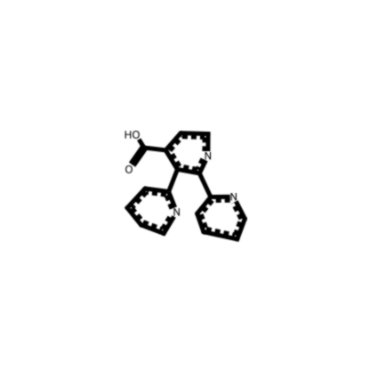 O=C(O)c1ccnc(-c2ccccn2)c1-c1ccccn1